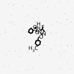 Cc1ccc(COc2ncc(F)c(NS(=O)(=O)c3ccccc3)n2)cc1